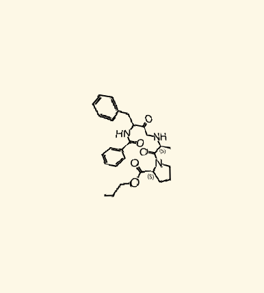 CCCOC(=O)[C@@H]1CCCN1C(=O)[C@H](C)NCC(=O)C(Cc1ccccc1)NC(=O)c1ccccc1